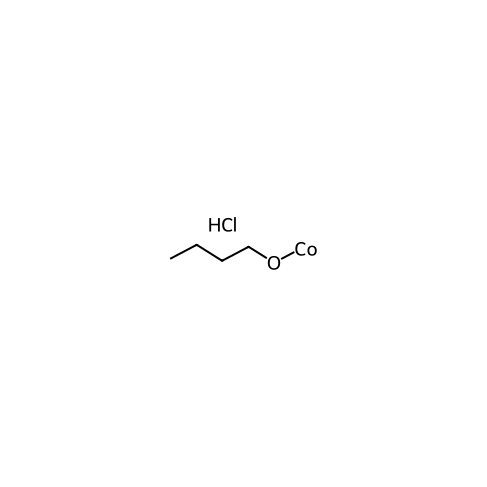 CCCC[O][Co].Cl